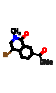 COC(=O)c1ccc2c(Br)cn(C)c(=O)c2c1